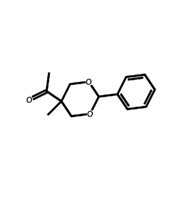 CC(=O)C1(C)COC(c2ccccc2)OC1